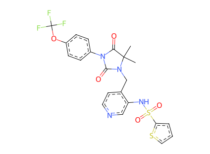 CC1(C)C(=O)N(c2ccc(OC(F)(F)F)cc2)C(=O)N1Cc1ccncc1NS(=O)(=O)c1cccs1